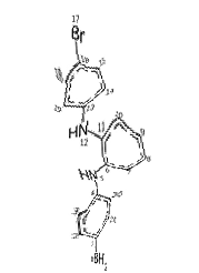 Bc1ccc(Nc2ccccc2Nc2ccc(Br)cc2)cc1